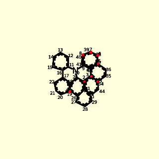 c1ccc(-c2ccccc2N(c2ccccc2-c2ccccc2)c2ccc3ccccc3c2-c2cccc3ccccc23)cc1